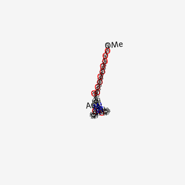 COCCOCCOCCOCCOCCOCCOCCOCCOCCOC(=O)/C=C/c1ccc(-c2nc3c(c(=O)n(CC4CCCCC4)c(=O)n3CC3CCCCC3)n2CC(C)=O)cc1